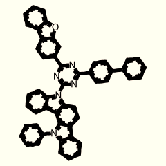 c1ccc(-c2ccc(-c3nc(-c4ccc5c(c4)oc4ccccc45)nc(-n4c5ccccc5c5c4ccc4c6ccccc6n(-c6ccccc6)c45)n3)cc2)cc1